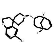 Clc1ccc2c(c1)C1(CCO2)CCN(C[C@H]2CC[C@H]3CC=C[C@@H](C3)C2)CC1